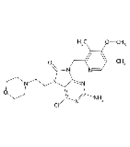 COc1c(C)cnc(Cn2c(=O)n(CCN3CCOCC3)c3c(Cl)nc(N)nc32)c1C